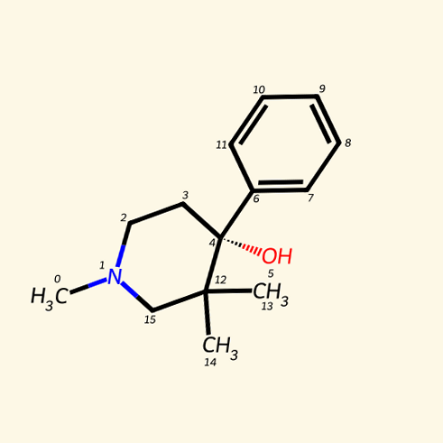 CN1CC[C@@](O)(c2ccccc2)C(C)(C)C1